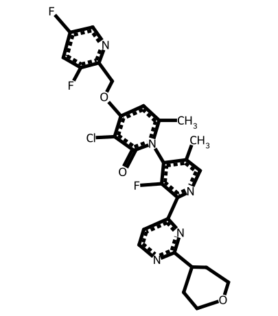 Cc1cnc(-c2ccnc(C3CCOCC3)n2)c(F)c1-n1c(C)cc(OCc2ncc(F)cc2F)c(Cl)c1=O